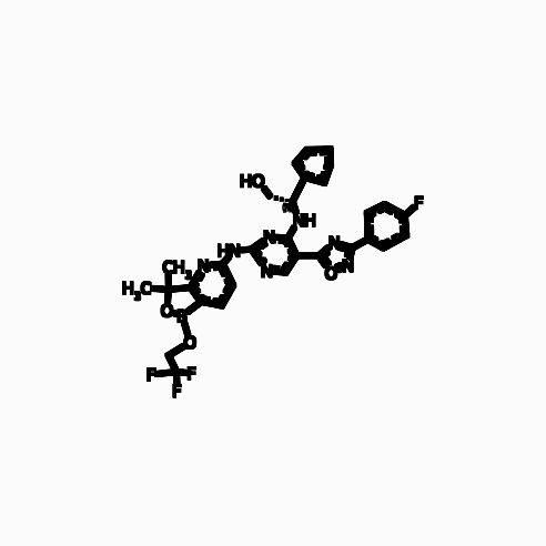 CC1(C)OB(OCC(F)(F)F)c2ccc(Nc3ncc(-c4nc(-c5ccc(F)cc5)no4)c(N[C@H](CO)c4ccccc4)n3)nc21